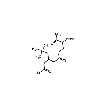 CCC(=O)O[C@H](CC(=O)SCC(NC(C)=O)C(N)=O)C[N+](C)(C)C